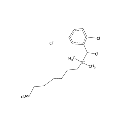 CCCCCCCCCCCCCCCC[N+](C)(C)C(Cl)c1ccccc1Cl.[Cl-]